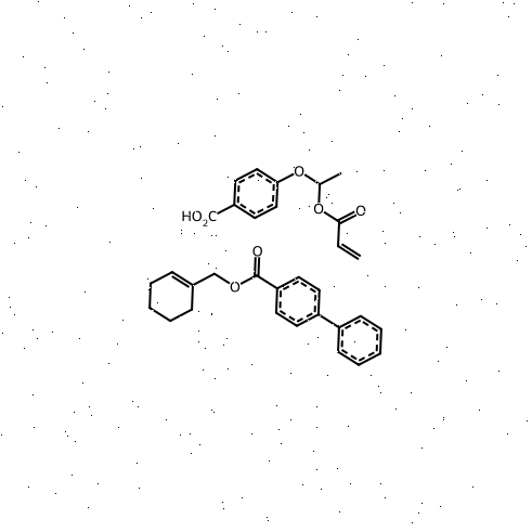 C=CC(=O)OC(C)Oc1ccc(C(=O)O)cc1.O=C(OCC1=CCCCC1)c1ccc(-c2ccccc2)cc1